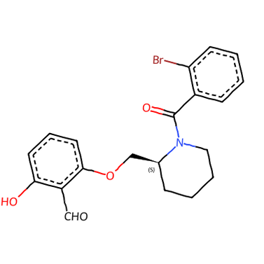 O=Cc1c(O)cccc1OC[C@@H]1CCCCN1C(=O)c1ccccc1Br